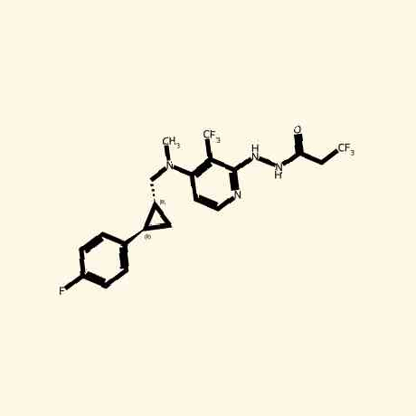 CN(C[C@@H]1C[C@H]1c1ccc(F)cc1)c1ccnc(NNC(=O)CC(F)(F)F)c1C(F)(F)F